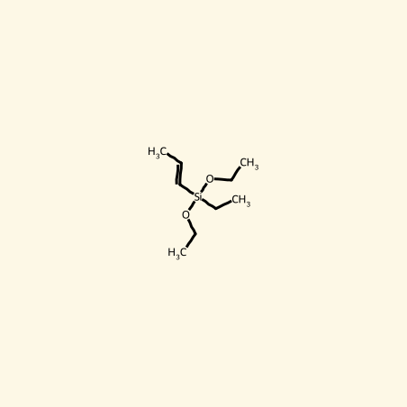 CC=C[Si](CC)(OCC)OCC